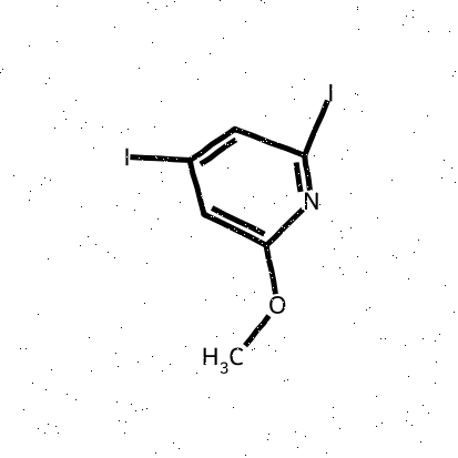 COc1cc(I)cc(I)n1